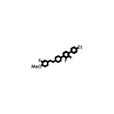 CCc1ccc(-c2ccc(C3CCC(CCC4C=C(F)C(OC)CC4)CC3)c(F)c2F)cc1